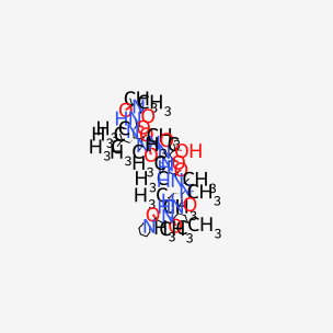 CC(=O)N(C)C(=O)NC(=O)N(C)[C@@H](CC(C)C)C(=O)N(C)C(=O)N(C)C(=O)NC(C(=O)N(C)[C@@H](C)C(=O)N[C@@H](C)N(C)[C@@H](CC(C)C)C(=O)N[C@@H](CC(C)C)C(=O)N[C@@H](C)C(=O)N1CCCCC1)[C@@H](C)O